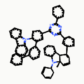 CC12C=CC=C(c3cccc(-c4nc(-c5ccccc5)nc(-c5ccc(-n6c7ccccc7c7ccccc76)c(-c6cccc(-c7ccccc7)c6)c5)n4)c3)C1c1ccccc1N2C1C=CC=CC1